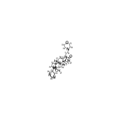 C[C@]12CCC(=O)N(CCN3CCOCC3)C1=CC[C@@H]1[C@@H]2CC[C@]2(C)C(c3cncnc3)=CC[C@@H]12